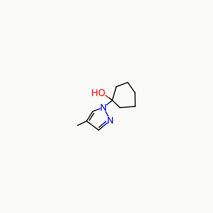 Cc1cnn(C2(O)CCCCC2)c1